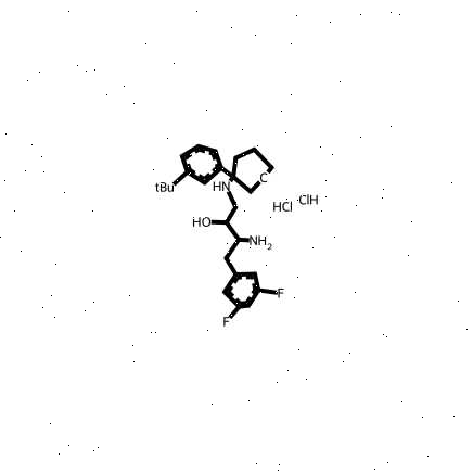 CC(C)(C)c1cccc(C2(NCC(O)C(N)Cc3cc(F)cc(F)c3)CCCCC2)c1.Cl.Cl